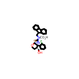 O=C(O)N(CC1c2ccccc2-c2ccccc21)C(=S)N[C@@]1(c2ccccc2F)COCC[C@H]1CO